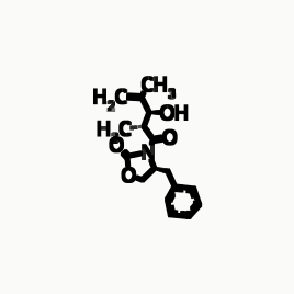 C=C(C)[C@@H](O)[C@@H](C)C(=O)N1C(=O)OC[C@@H]1Cc1ccccc1